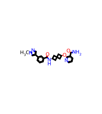 Cn1cc(-c2cccc(C(=O)N[C@H]3CC4(C3)C[C@H](Oc3ncccc3C(N)=O)C4)c2)cn1